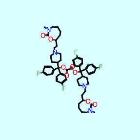 CN1CCCCC(CCN2CCC(C(OC(=O)C(=O)OC(c3ccc(F)cc3)(c3ccc(F)cc3)C3CCN(CCC4CCCCN(C)C(=O)O4)CC3)(c3ccc(F)cc3)c3ccc(F)cc3)CC2)OC1=O